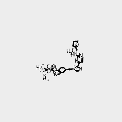 CC(C)(C)OC(=O)n1ncc2cc(C#Cc3ccnc(-c4ccnc(NCC5(C)CCCO5)n4)n3)ccc21